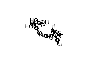 Cc1sc2c(c1C)C(c1ccc(Cl)cc1)=N[C@@H](CC(=O)N1CCC(CN3CCN(c4ccc(-n5c(O)nnc5-c5cc(C(C)C)c(O)cc5O)cc4)CC3)CC1)C1=NNC(C)N12